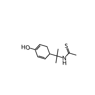 CC(=S)NC(C)(C)C1C=CC(O)=CC1